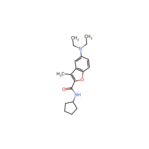 CCN(CC)c1ccc2oc(C(=O)NC3CCCC3)c(C)c2c1